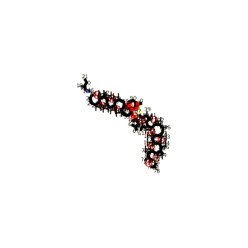 C=CC[C@H]1O[C@H]2C=C[C@H]3O[C@H]4[C@H](C)[C@H]5O[C@@H](/C=C/[C@H](C)CC)C=CC[C@@H]5O[C@@H]4C[C@@H]3O[C@@H]2C=C[C@@H]1OC(C[C@@H](C)[C@]1(C)O[C@@H]2C[C@H](C)C[C@@H]3O[C@H]4[C@H](C[C@H]3O[C@H]2C[C@H]1O[Si](C(C)C)(C(C)C)C(C)C)O[C@@H]1[C@@H](C)[C@H](C)[C@@]2(C[C@H](C)CO2)O[C@H]1C(C)[C@@H]4C)Sc1ccccc1